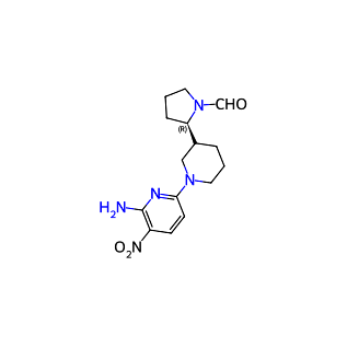 Nc1nc(N2CCCC([C@H]3CCCN3C=O)C2)ccc1[N+](=O)[O-]